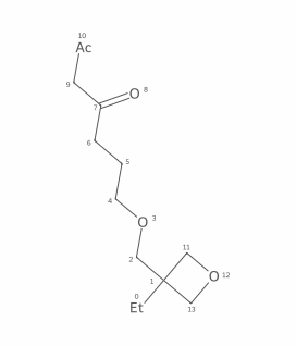 CCC1(COCCCC(=O)CC(C)=O)COC1